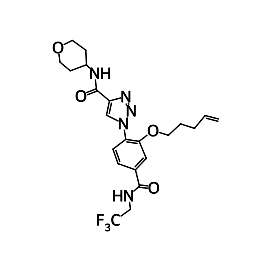 C=CCCCOc1cc(C(=O)NCC(F)(F)F)ccc1-n1cc(C(=O)NC2CCOCC2)nn1